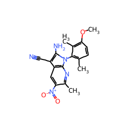 COc1ccc(C)c(-n2c(N)c(C#N)c3cc([N+](=O)[O-])c(C)nc32)c1C